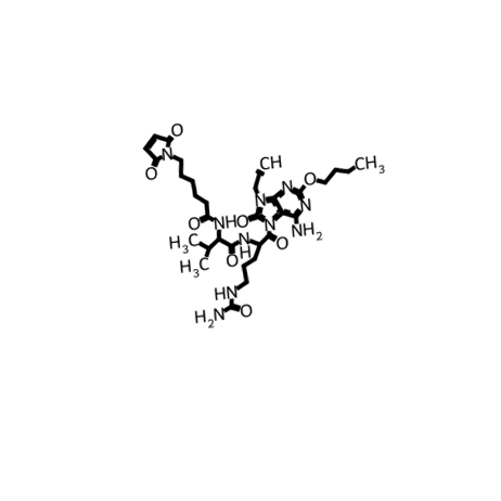 C#CCn1c(=O)n(C(=O)C(CCCNC(N)=O)NC(=O)C(NC(=O)CCCCCN2C(=O)C=CC2=O)C(C)C)c2c(N)nc(OCCCC)nc21